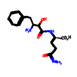 NC(=O)CC[C@H](NC(=O)C(O)C(N)Cc1ccccc1)C(=O)O